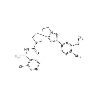 C[C@H](NC(=O)N1CCC2(CCn3nc(-c4cnc(N)c(OC(F)(F)F)c4)cc32)C1)c1ccncc1Cl